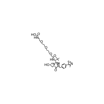 Cc1ncsc1-c1ccc(CNC(=O)[C@H]2C[C@H](O)CN2C(=O)[C@H](NC(=O)COCCCOCCCOCCNC(=O)O)C(C)(C)C)cc1